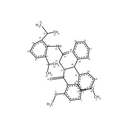 COc1ccc(OC)c(C(=O)N(CC(=O)Nc2c(C(C)C)cccc2C(C)C)C(c2ccccc2)c2ccccc2)c1